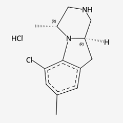 Cc1cc(Cl)c2c(c1)C[C@@H]1CNC[C@@H](C)N21.Cl